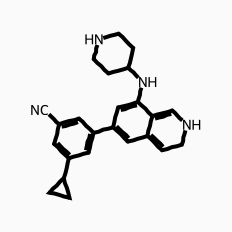 N#Cc1cc(-c2cc(NC3CCNCC3)c3c(c2)=CCNC=3)cc(C2CC2)c1